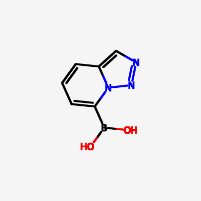 OB(O)c1cccc2cnnn12